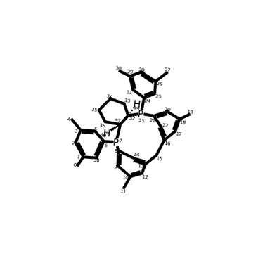 Cc1cc(C)cc(P2c3cc(C)cc(c3)Cc3cc(C)cc(c3)P(c3cc(C)cc(C)c3)[C@@H]3CCCC[C@H]32)c1